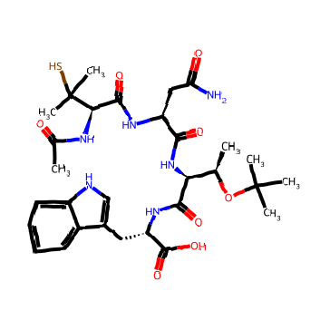 CC(=O)N[C@H](C(=O)N[C@@H](CC(N)=O)C(=O)N[C@H](C(=O)N[C@@H](Cc1c[nH]c2ccccc12)C(=O)O)[C@@H](C)OC(C)(C)C)C(C)(C)S